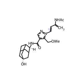 C=C(/C=C/n1ncc(C(=O)N[C@H]2C3CC4CC2C[C@](O)(C4)C3)c1COC)NC(C)=O